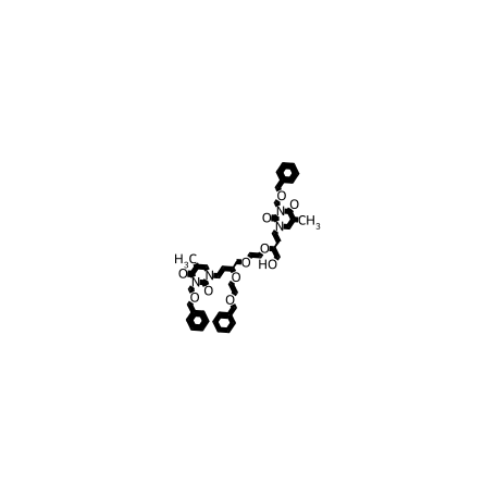 CC1CN(CC[C@@H](CO)OCCOC[C@H](CCN2CC(C)C(=O)N(COCc3ccccc3)C2=O)OCCOCC2=CCCCC2)C(=O)N(COCc2ccccc2)C1=O